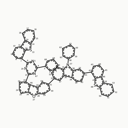 c1ccc(-c2nc(-c3cccc4c3sc3ccccc34)nc(-c3cccc4oc5ccc(-c6ccc7c(c6)c6ccc(-c8cccc9c8sc8ccccc89)cc6n7-c6ccccc6)cc5c34)n2)cc1